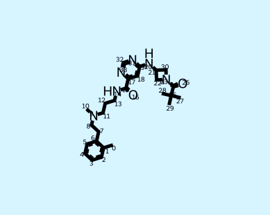 Cc1ccccc1CCN(C)CCCNC(=O)c1cc(NC2CN(C(=O)C(C)(C)C)C2)ncn1